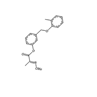 CON=C(C)C(=O)Oc1cccc(COc2ccccc2C)c1